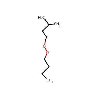 CCCCOO[CH]CC(C)C